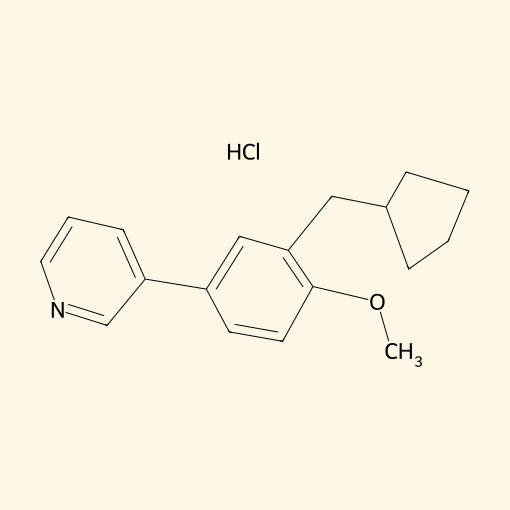 COc1ccc(-c2cccnc2)cc1CC1CCCC1.Cl